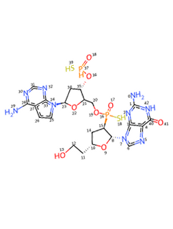 Nc1nc2c(ncn2[C@@H]2O[C@H](CCO)C[C@H]2P(=O)(S)OCC2O[C@@H](n3ccc4c(N)ncnc43)C[C@@H]2O[PH](=O)S)c(=O)[nH]1